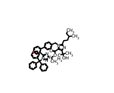 CCOC(=O)c1c(C(C)(C)O)nc(CCC(C)CC)n1Cc1ccc(-c2ccccc2-c2nnnn2C(c2ccccc2)(c2ccccc2)c2ccccc2)cc1